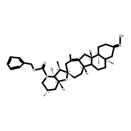 CC1=C2C[C@H]3C(CC[C@@H]4C/C(=N/O)CC[C@@]43C)[C@@H]2CC[C@@]2(C1)O[C@@H]1C[C@H](C)CN(C(=O)OCc3ccccc3)[C@H]1[C@H]2C